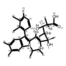 [2H]/C(=C(/[2H])[C@@](C)(O)C([2H])(C)[C@@](C)(O)C([2H])(C)C(=O)O)c1c(-c2ccc(F)c(C)c2C)c2cc(C)c(C)cc2n1C(C)CC